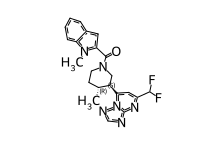 C[C@@H]1CCN(C(=O)c2cc3ccccc3n2C)C[C@H]1c1cc(C(F)F)nc2ncnn12